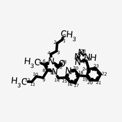 CCCCCn1c(C)c(CCCC)n(Cc2ccc(-c3ccccc3-c3nnn[nH]3)cn2)c1=O